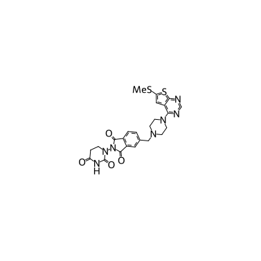 CSc1cc2c(N3CCN(Cc4ccc5c(c4)C(=O)N(N4CCC(=O)NC4=O)C5=O)CC3)ncnc2s1